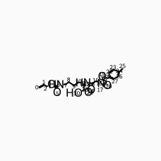 C=CCOC(=O)NCCCC[C@H](NC(=O)CN(C)S(=O)(=O)c1ccc(C)cc1)C(=O)O